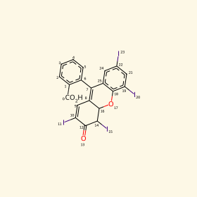 O=C(O)c1ccccc1C1=C2C=C(I)C(=O)C(I)C2Oc2c(I)cc(I)cc21